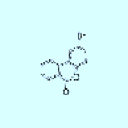 O=c1oc2ccc(Br)cc2c2ccccc12